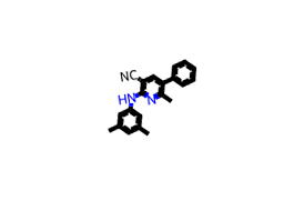 Cc1cc(C)cc(Nc2nc(C)c(-c3ccccc3)cc2C#N)c1